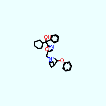 OC(c1ccccc1)(c1ncc(C[N+]2=C3CC(C3)C(Oc3ccccc3)C2)o1)C1CCCCC1